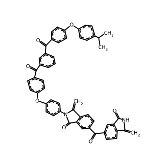 C=C1NC(=O)c2cc(C(=O)c3ccc4c(c3)C(=O)N(c3ccc(Oc5ccc(C(=O)c6cccc(C(=O)c7ccc(Oc8ccc(C(C)C)cc8)cc7)c6)cc5)cc3)C4=C)ccc21